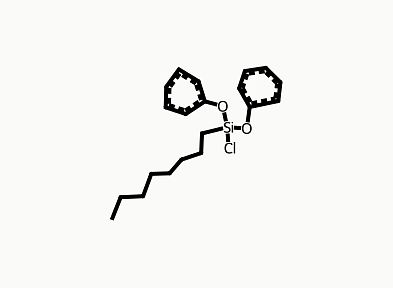 CCCCCCCC[Si](Cl)(Oc1ccccc1)Oc1ccccc1